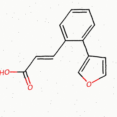 O=C(O)C=Cc1ccccc1-c1ccoc1